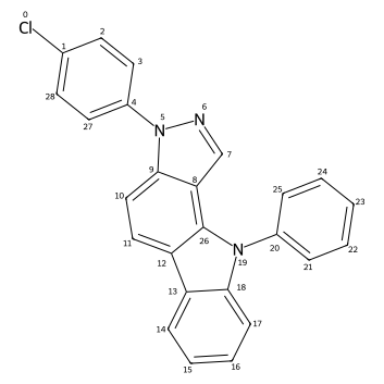 Clc1ccc(-n2ncc3c2ccc2c4ccccc4n(-c4ccccc4)c23)cc1